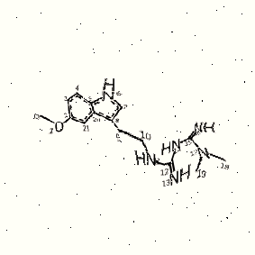 COc1ccc2[nH]cc(CCNC(=N)NC(=N)N(C)C)c2c1